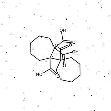 O=C(O)C1(C2(C(=O)O)CCCCCC2(C(=O)O)C(=O)O)CCCCCC1